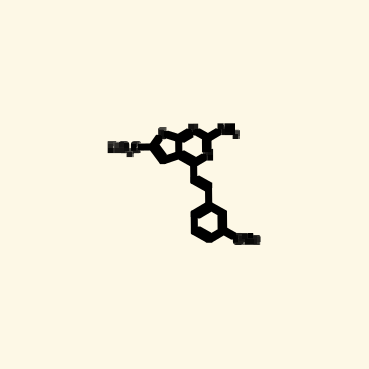 CCOC(=O)c1cc2c(/C=C/c3cccc(OC)c3)nc(N)nc2s1